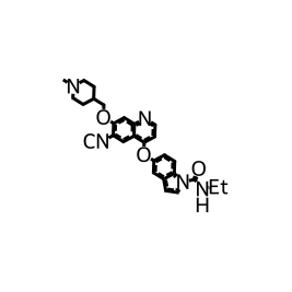 [C-]#[N+]c1cc2c(Oc3ccc4c(ccn4C(=O)NCC)c3)ccnc2cc1OCC1CCN(C)CC1